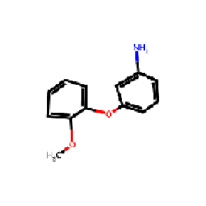 COc1ccccc1Oc1cccc(N)c1